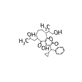 CC(O)CC1CCCC(C(C)CO)c2oc(=O)c(C(c3ccccc3)C3CC3)c(O)c2C1=O